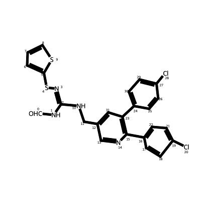 O=CN/C(=N\Sc1cccs1)NCc1cnc(-c2ccc(Cl)cc2)c(-c2ccc(Cl)cc2)c1